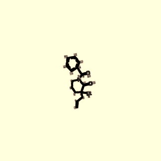 C=CCC1(CC)CCCN(C(=O)c2ccccc2)C1=O